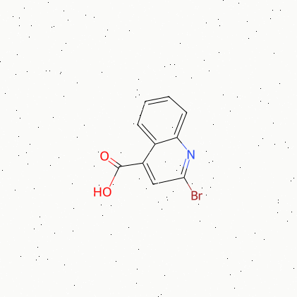 O=C(O)c1cc(Br)nc2ccccc12